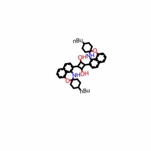 CCCCC1CCC2(CC1)Nc1c(C3C(O)C(c4ccc5cccc6c5c4NC4(CCC(CCCC)CC4)O6)C3O)ccc3cccc(c13)O2